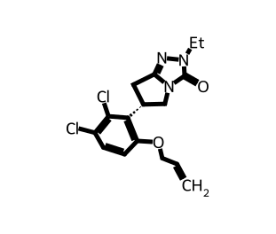 C=CCOc1ccc(Cl)c(Cl)c1[C@@H]1Cc2nn(CC)c(=O)n2C1